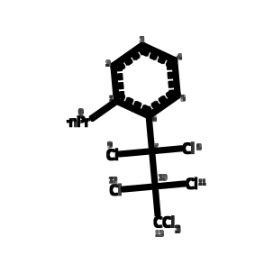 CC[CH]c1ccccc1C(Cl)(Cl)C(Cl)(Cl)C(Cl)(Cl)Cl